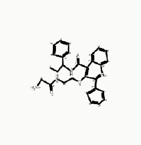 CCC(NC(=O)c1c(OCCNC(=O)CN)c(-c2ccccc2)nc2ccccc12)c1ccccc1